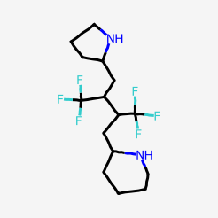 FC(F)(F)C(CC1CCCCN1)C(CC1CCCN1)C(F)(F)F